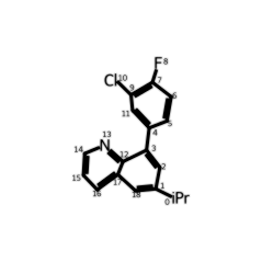 CC(C)c1cc(-c2ccc(F)c(Cl)c2)c2ncccc2c1